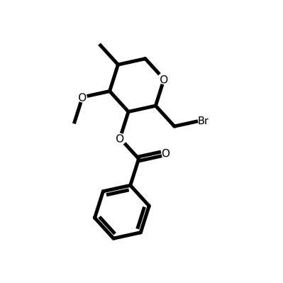 COC1C(C)COC(CBr)C1OC(=O)c1ccccc1